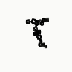 CCSc1ccc(S(=O)(=O)N2CCC(c3cn(CC(=O)O)c4ccc(Cl)cc34)C2)cc1